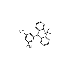 C[Si]1(C)c2ccccc2N(c2cc(C#N)cc(C#N)c2)c2ccccc21